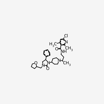 Cc1cc(Cl)nc(C)c1C(=O)NCCC(C)N1CCC(N2C(=O)N(CC3CCCO3)CC2c2ccccc2)CC1